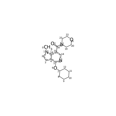 Cn1ccc2c(OC3CCCCC3)ncc(C(=O)N3CCOCC3)c21